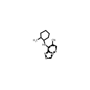 CC1CCCCC1Nc1c(C#N)cnn2cnnc12